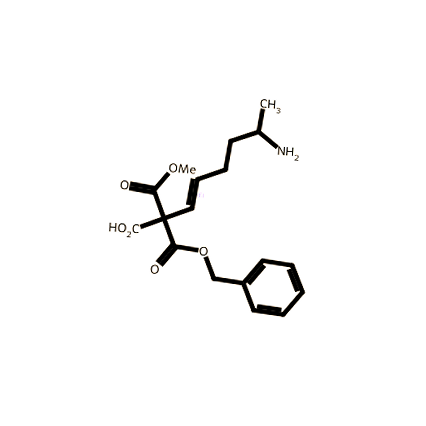 COC(=O)C(/C=C/CCC(C)N)(C(=O)O)C(=O)OCc1ccccc1